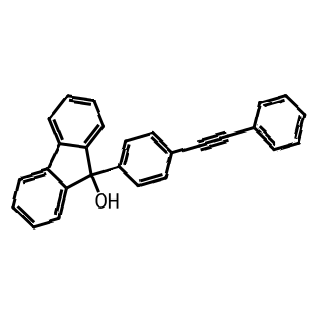 OC1(c2ccc(C#Cc3ccccc3)cc2)c2ccccc2-c2ccccc21